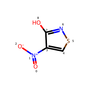 O=[N+]([O-])c1csnc1O